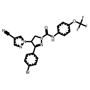 N#Cc1cnn(C2CN(C(=O)Nc3ccc(OC(F)(F)F)cc3)N=C2c2ccc(Br)cc2)c1